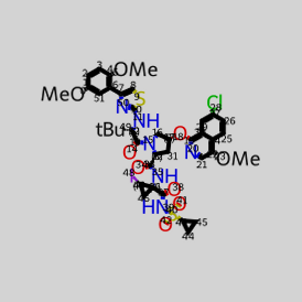 COc1ccc(OC)c(-c2csc(N[C@H](C(=O)N3C[C@H](Oc4ncc(OC)c5ccc(Cl)cc45)C[C@H]3C(=O)N[C@]3(C(=O)NS(=O)(=O)C4CC4)C[C@H]3I)C(C)(C)C)n2)c1